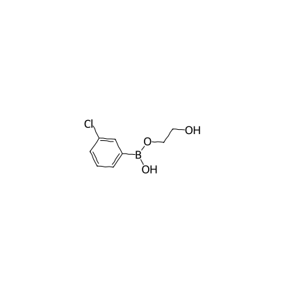 OCCOB(O)c1cccc(Cl)c1